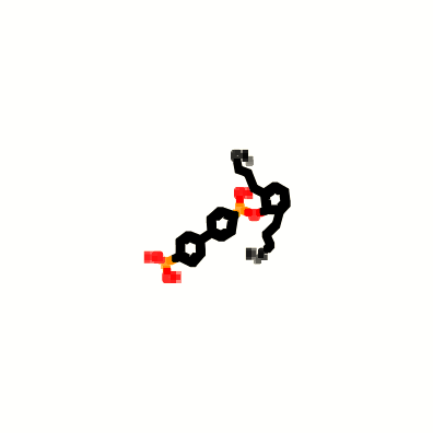 CCCCc1cccc(CCCC)c1OP(O)c1ccc(-c2ccc(P(O)O)cc2)cc1